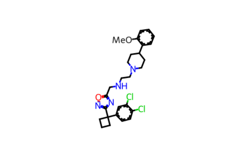 COc1ccccc1C1CCN(CCNCc2nc(C3(c4ccc(Cl)c(Cl)c4)CCC3)no2)CC1